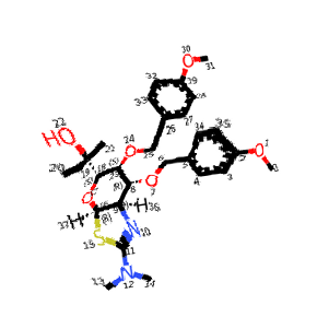 COc1ccc(CO[C@@H]2[C@H]3N=C(N(C)C)S[C@H]3O[C@H](C(C)(C)O)[C@H]2OCc2ccc(OC)cc2)cc1